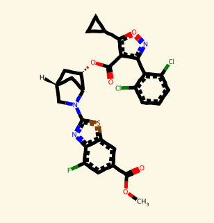 COC(=O)c1cc(F)c2nc(N3C[C@H]4CC3[C@@H](OC(=O)c3c(-c5c(Cl)cccc5Cl)noc3C3CC3)C4)sc2c1